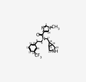 Cn1cnc(C(=O)N(CCc2cccc(C(F)(F)F)c2)CC2C3CNCC32)c1